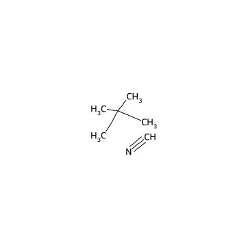 C#N.CC(C)(C)C